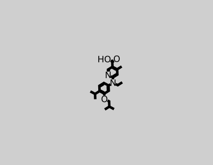 CCN(c1ccc(C(C)C)c(OCC(C)C)c1)c1cc(C)c(C(=O)O)cn1